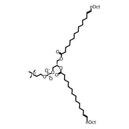 CCCCCCCC/C=C/CCCCCCCCCCCC(=O)OC[C@H](COP(=O)([O-])OCC[N+](C)(C)C)OC(=O)CCCCCCCCCCC/C=C/CCCCCCCC